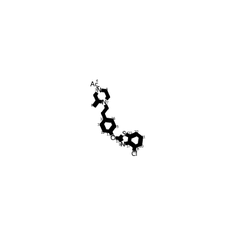 C=C1CN(C(C)=O)CCN1CCc1ccc(Oc2nc3c(Cl)cccc3s2)cc1